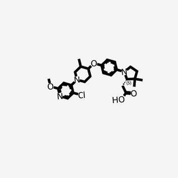 COc1cc(N2CCC(Oc3ccc(N4CCC(C)(C)[C@@H]4CC(=O)O)cc3)C(C)C2)c(Cl)cn1